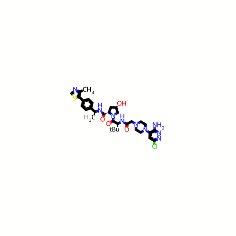 Cc1ncsc1-c1ccc([C@H](C)NC(=O)[C@@H]2C[C@@H](O)CN2C(=O)[C@@H](NC(=O)CN2CCN(c3cc(Cl)nnc3N)CC2)C(C)(C)C)cc1